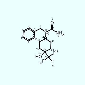 NC(=O)[C@H](Cc1ccccc1)N1CCC(O)(C(F)(F)F)CC1